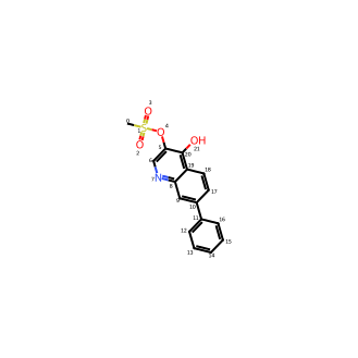 CS(=O)(=O)Oc1cnc2cc(-c3ccccc3)ccc2c1O